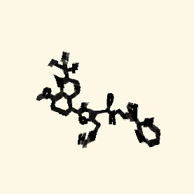 COc1ccc(-c2nc(C(=O)NCCNc3ncccn3)c(CN)o2)c2ccc(C(F)(F)F)nc12